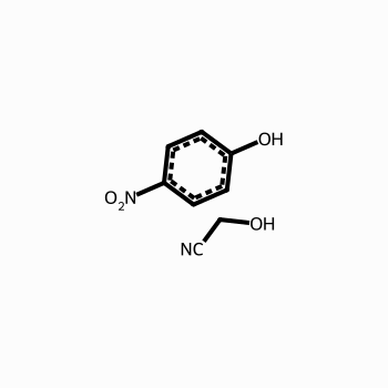 N#CCO.O=[N+]([O-])c1ccc(O)cc1